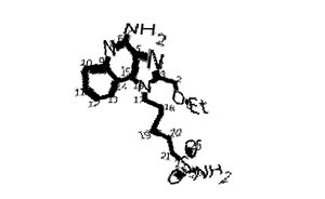 CCOCc1nc2c(N)nc3ccccc3c2n1CCCCCS(N)(=O)=O